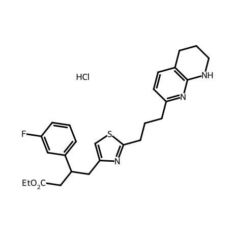 CCOC(=O)CC(Cc1csc(CCCc2ccc3c(n2)NCCC3)n1)c1cccc(F)c1.Cl